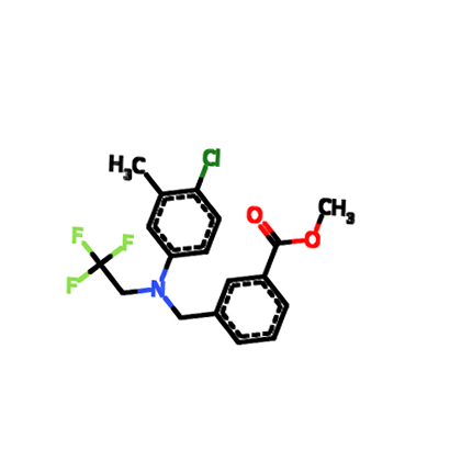 COC(=O)c1cccc(CN(CC(F)(F)F)c2ccc(Cl)c(C)c2)c1